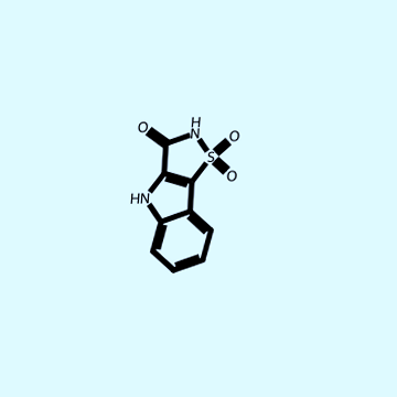 O=C1NS(=O)(=O)c2c1[nH]c1ccccc21